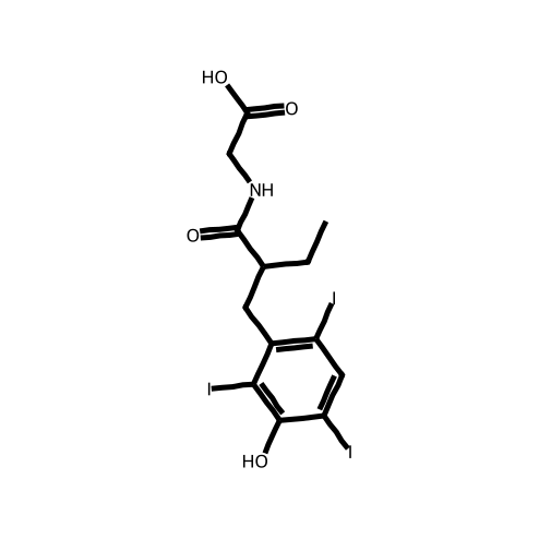 CCC(Cc1c(I)cc(I)c(O)c1I)C(=O)NCC(=O)O